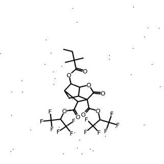 CCC(C)(C)C(=O)OC1C2CC3C1OC(=O)C3(C(=O)OC(C(F)(F)F)C(F)(F)F)C2C(=O)OC(C(F)(F)F)C(F)(F)F